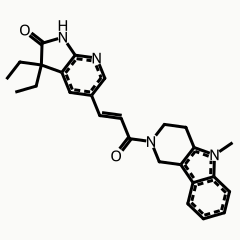 CCC1(CC)C(=O)Nc2ncc(C=CC(=O)N3CCc4c(c5ccccc5n4C)C3)cc21